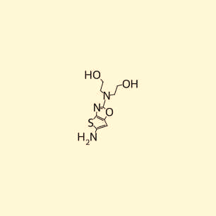 Nc1cc2oc(N(CCO)CCO)nc2s1